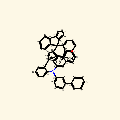 CC1(C)c2ccccc2C2(c3ccccc3-c3ccccc32)c2ccc(-c3ccccc3N(c3cccc(-c4ccccc4)c3)c3ccc4ccccc4c3)cc21